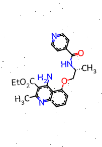 CCOC(=O)c1c(C)nc2cccc(OC[C@@H](C)NC(=O)c3ccncc3)c2c1N